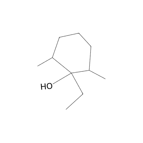 CCC1(O)C(C)CCCC1C